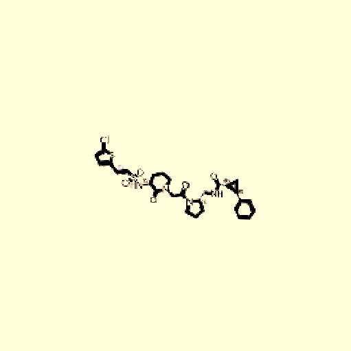 O=C(NC[C@@H]1CCCN1C(=O)CN1CCC[C@H](NS(=O)(=O)/C=C/c2ccc(Cl)s2)C1=O)[C@@H]1C[C@H]1c1ccccc1